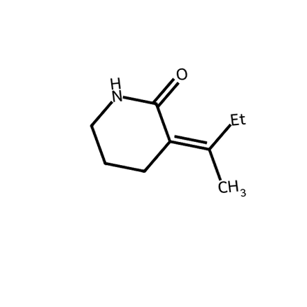 CC/C(C)=C1/CCCNC1=O